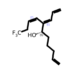 C=C/C=C(\C=C/CC(F)(F)F)[C@@H](O)CCCC=C